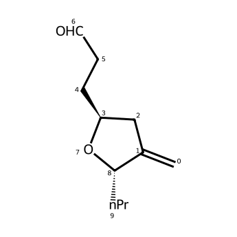 C=C1C[C@H](CCC=O)O[C@H]1CCC